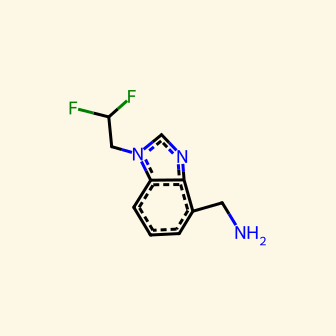 NCc1cccc2c1ncn2CC(F)F